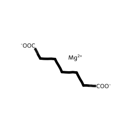 O=C([O-])CCCCCC(=O)[O-].[Mg+2]